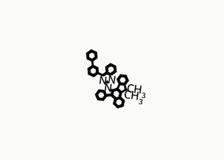 CC1(C)c2ccccc2-c2c1c1ccccc1c1c3ccccc3n(-c3nc(-c4cccc(-c5ccccc5)c4)c4ccccc4n3)c21